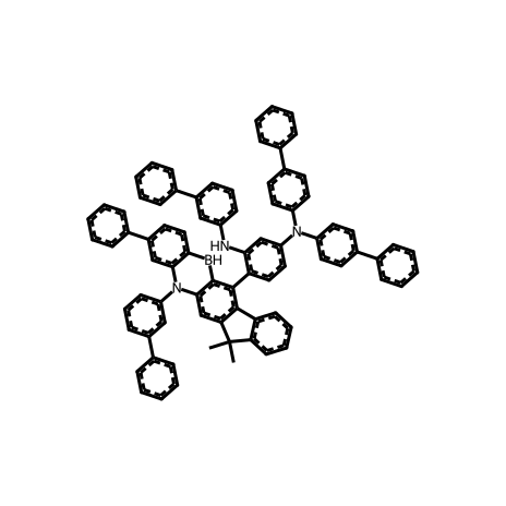 CC1(C)c2ccccc2-c2c1cc1c(c2-c2ccc(N(c3ccc(-c4ccccc4)cc3)c3ccc(-c4ccccc4)cc3)cc2Nc2cccc(-c3ccccc3)c2)Bc2ccc(-c3ccccc3)cc2N1c1cccc(-c2ccccc2)c1